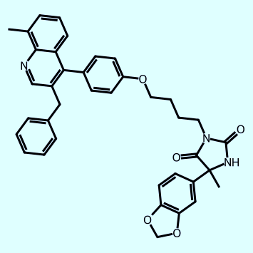 Cc1cccc2c(-c3ccc(OCCCCN4C(=O)NC(C)(c5ccc6c(c5)OCO6)C4=O)cc3)c(Cc3ccccc3)cnc12